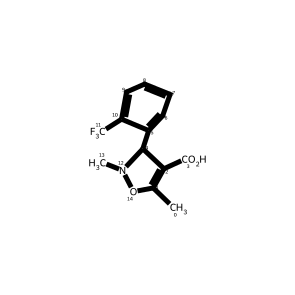 CC1=C(C(=O)O)C(c2ccccc2C(F)(F)F)N(C)O1